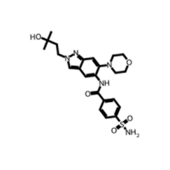 CC(C)(O)CCn1cc2cc(NC(=O)c3ccc(S(N)(=O)=O)cc3)c(N3CCOCC3)cc2n1